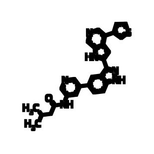 CC(C)CC(=O)Nc1cncc(-c2ccc3[nH]nc(-c4cc5c(-c6ccsc6)cncc5[nH]4)c3c2)c1